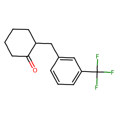 O=C1CCCCC1Cc1cccc(C(F)(F)F)c1